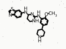 COc1ccc(C2CCNCC2)cc1NC1=NC(Nc2ccc3ncsc3c2)CCN1